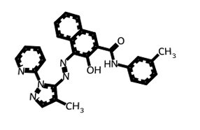 Cc1cccc(NC(=O)c2cc3ccccc3c(/N=N/c3c(C)cnn3-c3ccccn3)c2O)c1